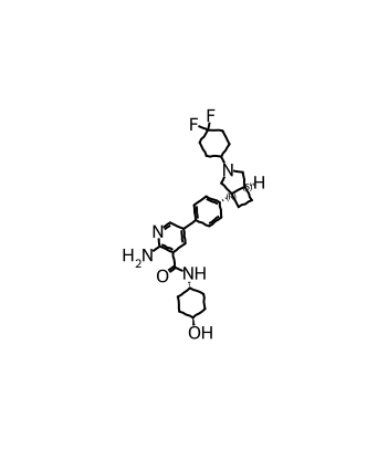 Nc1ncc(-c2ccc([C@@]34CC[C@@H]3CN(C3CCC(F)(F)CC3)C4)cc2)cc1C(=O)N[C@H]1CC[C@H](O)CC1